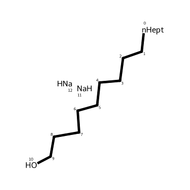 CCCCCCCCCCCCCCCCO.[NaH].[NaH]